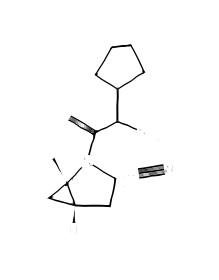 N#C[C@@H]1C[C@@H]2C[C@@H]2N1C(=O)C(N)C1CCCC1